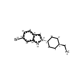 CC(=O)C[C@H]1CC[C@H](n2cc3ccc(Br)cc3n2)CC1